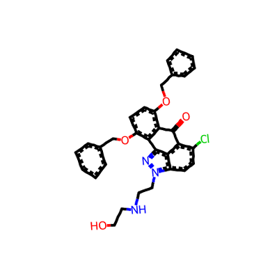 O=C1c2c(OCc3ccccc3)ccc(OCc3ccccc3)c2-c2nn(CCNCCO)c3ccc(Cl)c1c23